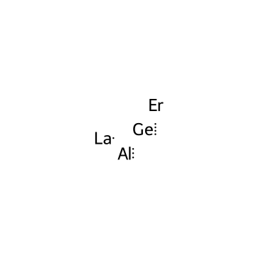 [Al].[Er].[Ge].[La]